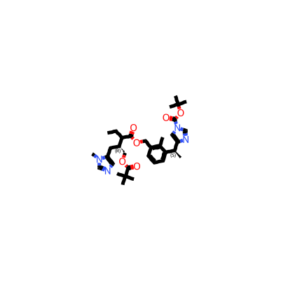 CCC(C(=O)OCc1cccc([C@H](C)c2cn(C(=O)OC(C)(C)C)cn2)c1C)[C@H](COC(=O)C(C)(C)C)Cc1cncn1C